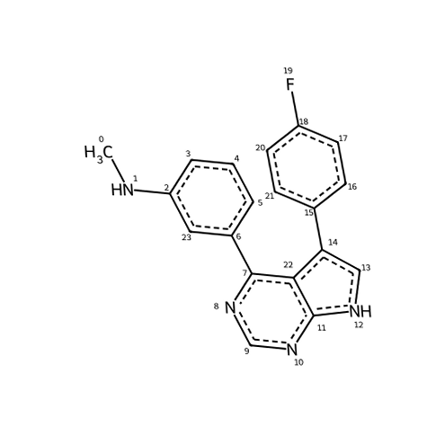 CNc1cccc(-c2ncnc3[nH]cc(-c4ccc(F)cc4)c23)c1